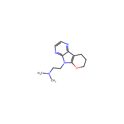 CN(C)CCn1c2c(c3nccnc31)CCCO2